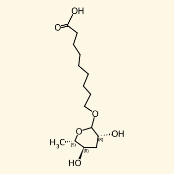 C[C@@H]1OC(OCCCCCCCCC(=O)O)[C@H](O)C[C@H]1O